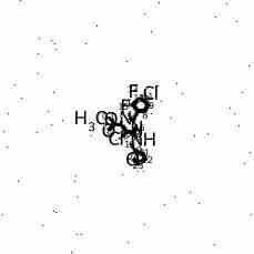 COC(=O)c1nc(-c2ccc(Cl)c(F)c2F)nc(NCc2ccco2)c1Cl